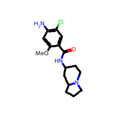 COc1cc(N)c(Cl)cc1C(=O)NC1CCN2CCCC2C1